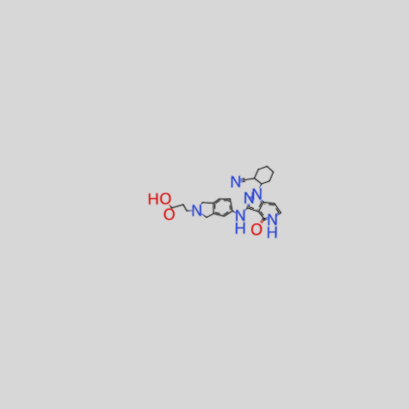 N#CC1CCCCC1n1nc(Nc2ccc3c(c2)CN(CCC(=O)O)C3)c2c(=O)[nH]ccc21